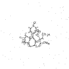 COC(=O)[C@@](CC(=O)O)(OC(C)(C)C)c1c(C)nc2[nH]c(C)c(C)c2c1-c1ccc(Cl)cc1